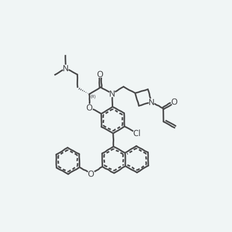 C=CC(=O)N1CC(CN2C(=O)[C@@H](CCN(C)C)Oc3cc(-c4cc(Oc5ccccc5)cc5ccccc45)c(Cl)cc32)C1